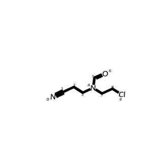 N#CCCN(C=O)CCCl